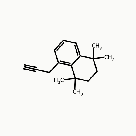 [C]#CCc1cccc2c1C(C)(C)CCC2(C)C